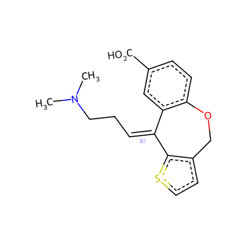 CN(C)CC/C=C1\c2cc(C(=O)O)ccc2OCc2ccsc21